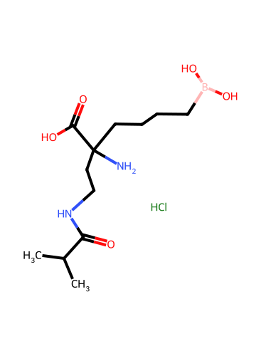 CC(C)C(=O)NCCC(N)(CCCCB(O)O)C(=O)O.Cl